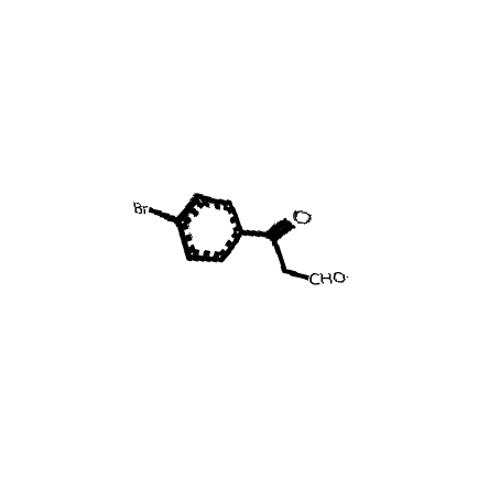 O=[C]CC(=O)c1ccc(Br)cc1